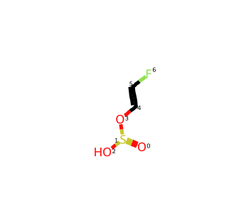 O=S(O)OC=CF